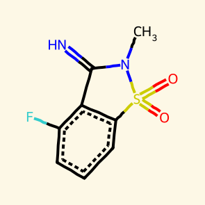 CN1C(=N)c2c(F)cccc2S1(=O)=O